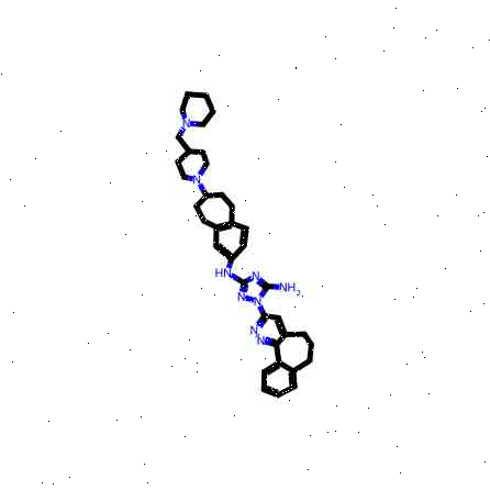 Nc1nc(Nc2ccc3c(c2)CCC(N2CCC(CN4CCCCC4)CC2)CC3)nn1-c1cc2c(nn1)-c1ccccc1CCC2